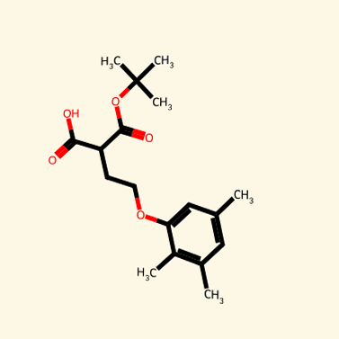 Cc1cc(C)c(C)c(OCCC(C(=O)O)C(=O)OC(C)(C)C)c1